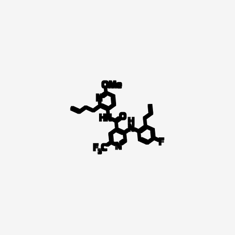 C=CCCc1nc(OC)ccc1NC(=O)c1cc(C(F)(F)F)ncc1Nc1ccc(F)cc1CC=C